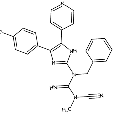 CN(C#N)C(=N)N(Cc1ccccc1)c1nc(-c2ccc(F)cc2)c(-c2ccncc2)[nH]1